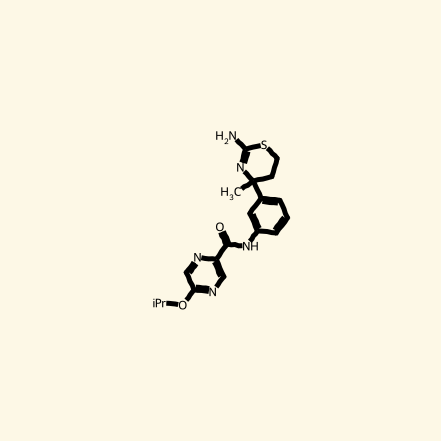 CC(C)Oc1cnc(C(=O)Nc2cccc(C3(C)CCSC(N)=N3)c2)cn1